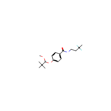 COC(Oc1ccc(C(=O)NCCC(C)(F)F)cc1)C(C)(C)C